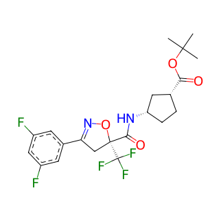 CC(C)(C)OC(=O)[C@@H]1CC[C@H](NC(=O)[C@@]2(C(F)(F)F)CC(c3cc(F)cc(F)c3)=NO2)C1